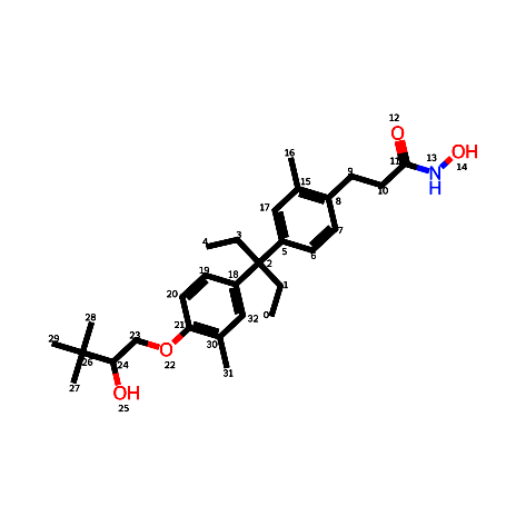 CCC(CC)(c1ccc(CCC(=O)NO)c(C)c1)c1ccc(OCC(O)C(C)(C)C)c(C)c1